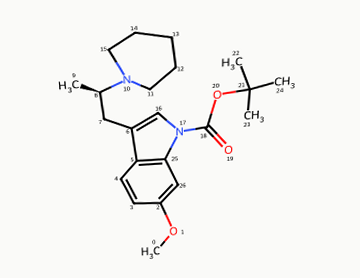 COc1ccc2c(C[C@@H](C)N3CCCCC3)cn(C(=O)OC(C)(C)C)c2c1